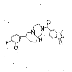 Cc1n[nH]c2ccc(C(=O)N3CCN4C[C@H](c5ccc(F)c(Cl)c5)CC[C@H]4C3)cc12